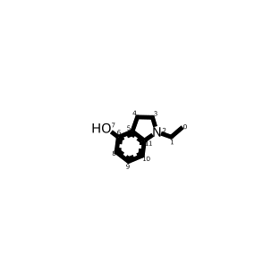 CCN1CCc2c(O)cccc21